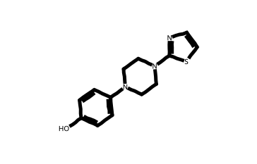 Oc1ccc(N2CCN(c3nccs3)CC2)cc1